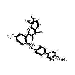 CC(NC(=O)c1cc(C(F)(F)F)cnc1NCc1ccc(-c2cnc(N)cn2)cc1)c1ccc(F)c(F)c1